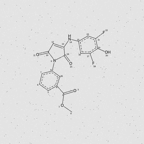 COC(=O)c1cccc(N2C(=O)C=C(Nc3cc(F)c(O)c(F)c3)C2=O)c1